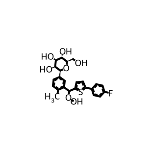 Cc1ccc([C@@H]2O[C@H](CO)[C@@H](O)[C@H](O)[C@H]2O)cc1C(OO)c1ccc(-c2ccc(F)cc2)s1